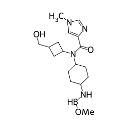 COBNC1CCC(N(C(=O)c2cn(C)cn2)C2CC(CO)C2)CC1